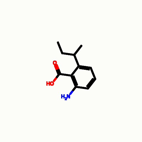 CCC(C)c1cccc(N)c1C(=O)O